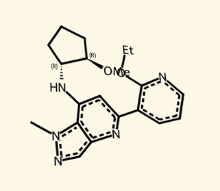 CCOc1ncccc1-c1cc(N[C@@H]2CCC[C@H]2OC)c2c(cnn2C)n1